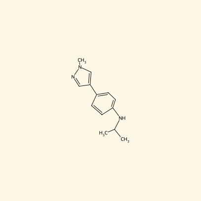 CC(C)Nc1ccc(-c2cnn(C)c2)cc1